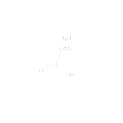 COC(=O)O.N